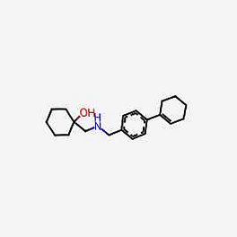 OC1(CNCc2ccc(C3=CCCCC3)cc2)CCCCC1